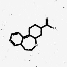 NC(=O)C1CCC2=C3C=CC=CC3CCNC2C1